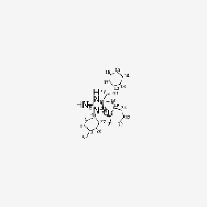 CC1CCC(N2C(=N)N[C@](CCC3CCCCC3)(CC3CCCCC3)C2=O)CC1